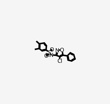 Cc1ccc(S(=O)(=O)Nc2noc(-c3ccccc3)c2Cl)cc1C